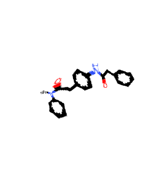 CCCN(C(=O)Cc1ccc(NC(=O)Cc2ccccc2)cc1)c1ccccc1